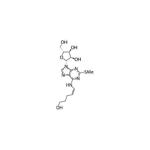 CSc1nc(N/C=C\CCCO)c2ncn([C@@H]3O[C@H](CO)[C@@H](O)[C@H]3O)c2n1